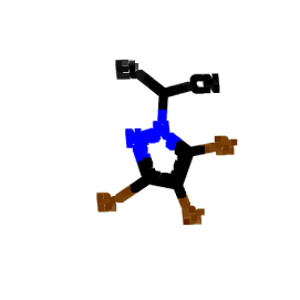 CCC(C#N)n1nc(Br)c(Br)c1Br